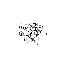 CC(C)(C)OOC(C)(C)c1cccc(C(C)(C)C)c1C(C)(C)OOC(C)(C)C.O=C(OO)c1ccccc1